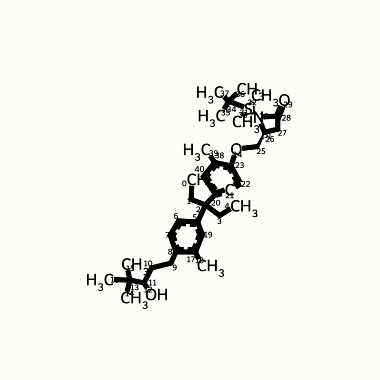 CCC(CC)(c1ccc(CCC(O)C(C)(C)C)c(C)c1)c1ccc(OC[C@@H]2CC(=O)N2[Si](C)(C)C(C)(C)C)c(C)c1